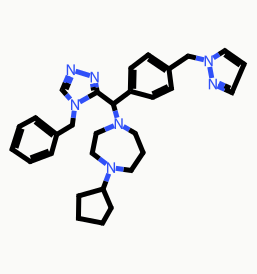 c1ccc(Cn2cnnc2C(c2ccc(Cn3cccn3)cc2)N2CCCN(C3CCCC3)CC2)cc1